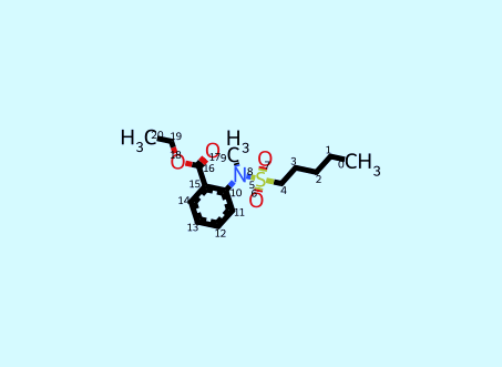 CCCCCS(=O)(=O)N(C)c1ccccc1C(=O)OCC